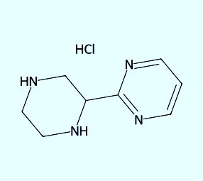 Cl.c1cnc(C2CNCCN2)nc1